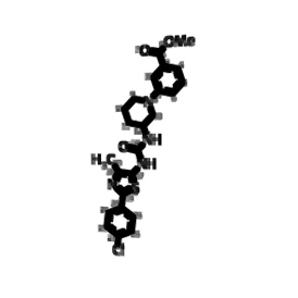 COC(=O)c1cccc(N2CCCC(NC(=O)Nc3sc(-c4ccc(Cl)cc4)nc3C)C2)c1